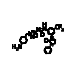 NC1CCC(C[n+]2cc([N-]C(=O)Nc3cc(N4CC[C@H](c5ccccc5)C4=O)cc(C(F)(F)F)c3)on2)CC1